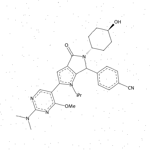 COc1nc(N(C)C)ncc1-c1cc2c(n1C(C)C)C(c1ccc(C#N)cc1)N([C@H]1CC[C@H](O)CC1)C2=O